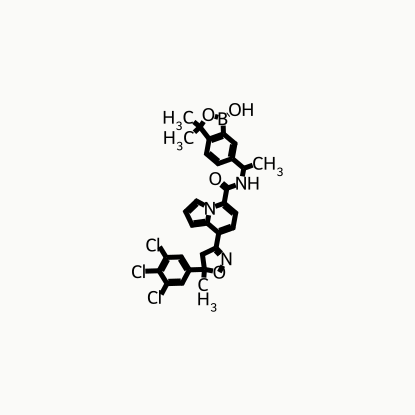 CC(NC(=O)c1ccc(C2=NOC(C)(c3cc(Cl)c(Cl)c(Cl)c3)C2)c2cccn12)c1ccc2c(c1)B(O)OC2(C)C